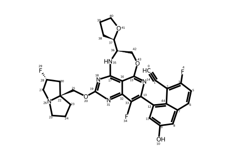 C#Cc1c(F)ccc2cc(O)cc(-c3nc4c5c(nc(OC[C@@]67CCCN6C[C@H](F)C7)nc5c3F)N[C@@H]([C@H]3CCCO3)CO4)c12